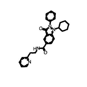 O=C(NCCc1ccccn1)c1ccc2c(c1)c(=O)n(-c1ccccc1)n2C1CCCCC1